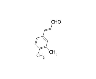 Cc1ccc(/C=C/C=O)cc1C